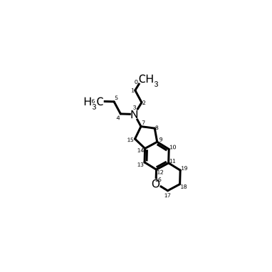 CCCN(CCC)C1Cc2cc3c(cc2C1)OCCC3